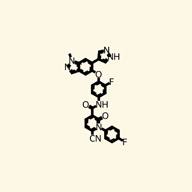 Cn1ncc2cc(Oc3ccc(NC(=O)c4ccc(C#N)n(-c5ccc(F)cc5)c4=O)cc3F)c(-c3cn[nH]c3)cc21